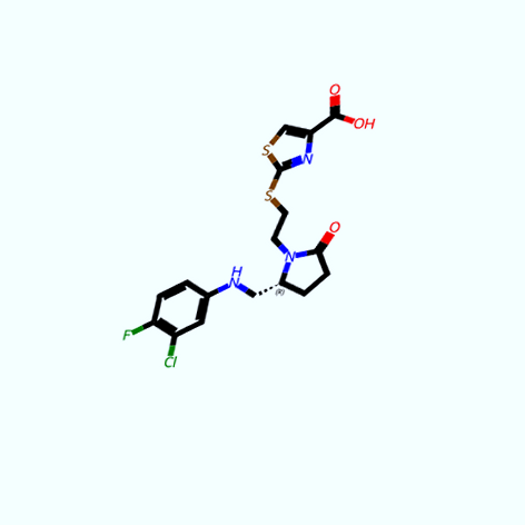 O=C(O)c1csc(SCCN2C(=O)CC[C@@H]2CNc2ccc(F)c(Cl)c2)n1